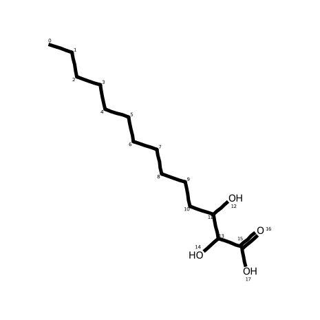 CCCCCCCCCCCC(O)C(O)C(=O)O